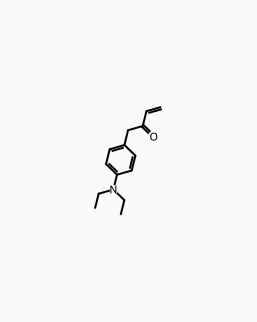 C=CC(=O)Cc1ccc(N(CC)CC)cc1